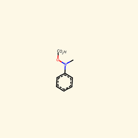 CN(OC(=O)O)c1ccccc1